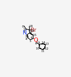 CC1=NC2=CCC(OCc3ccccc3)C=C2C1(C)Br